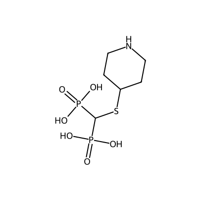 O=P(O)(O)C(SC1CCNCC1)P(=O)(O)O